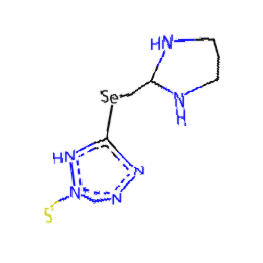 [S-][n+]1nnc([Se]C2NCCN2)[nH]1